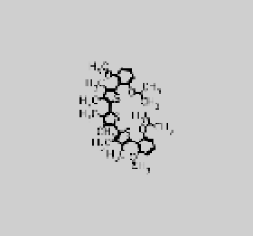 COc1cccc(OC(C)C)c1-c1sc(-c2sc(-c3sc(-c4c(OC)cccc4OC(C)C)c(C)c3C)c(C)c2C)c(C)c1C